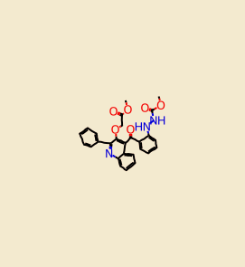 COC(=O)COc1c(-c2ccccc2)nc2ccccc2c1C(=O)c1ccccc1NNC(=O)OC